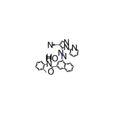 Cc1ccccc1NC(=O)c1cc2ccccc2c(/N=N/c2c(C#N)cnn2-c2ccccn2)c1O